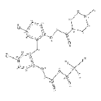 CN1CCN(C(=O)COc2ccc(Cl)cc2Cc2cc(Cl)ccc2OCC(=O)OC(=O)C(F)(F)F)CC1